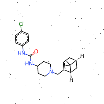 CC1(C)[C@H]2CC=C(CN3CCC(NC(=O)Nc4ccc(Cl)cc4)CC3)[C@@H]1C2